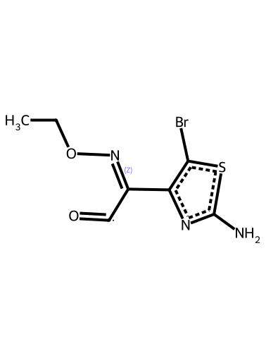 CCO/N=C(\[C]=O)c1nc(N)sc1Br